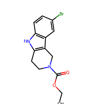 CCOC(=O)N1CCc2[nH]c3ccc(Br)cc3c2C1